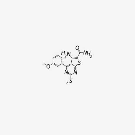 COc1cccc(-c2nc(SC)nc3sc(C(N)=O)c(N)c23)c1